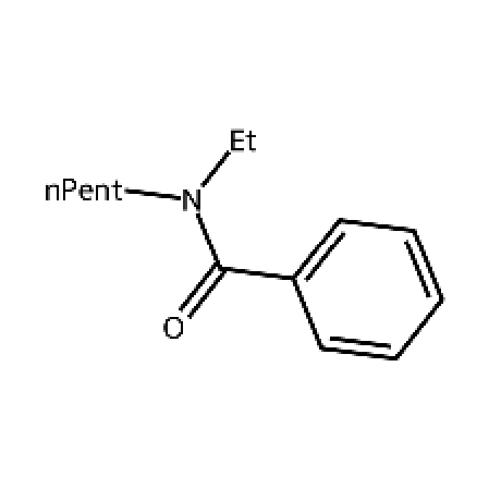 CCCCCN(CC)C(=O)c1ccccc1